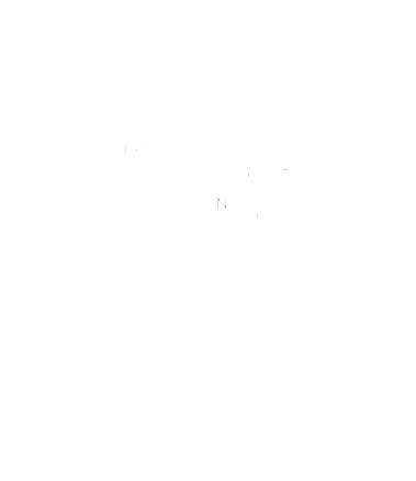 Cc1ccc2c(c1)cc(Cc1ccc(Br)cc1)n2C(=O)OC(C)(C)C